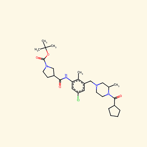 Cc1c(CN2CCN(C(=O)C3CCCC3)C(C)C2)cc(Cl)cc1NC(=O)C1CCN(C(=O)OC(C)(C)C)C1